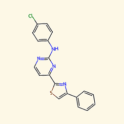 Clc1ccc(Nc2nccc(-c3nc(-c4ccccc4)cs3)n2)cc1